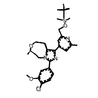 COc1cc(-c2nc(-c3cc(C)nc(CO[Si](C)(C)C(C)(C)C)c3)c3n2C[C@@H](C)OCC3)ccc1Cl